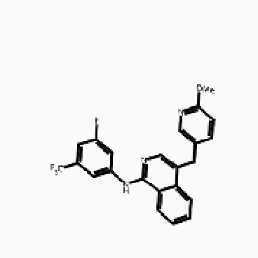 COc1ccc(Cc2cnc(Nc3cc(F)cc(C(F)(F)F)c3)c3ccccc23)cn1